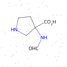 O=CNC1(C(=O)O)CCNC1